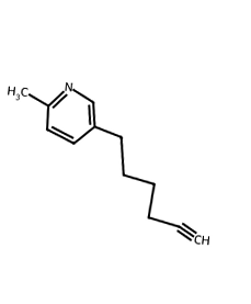 C#CCCCCc1ccc(C)nc1